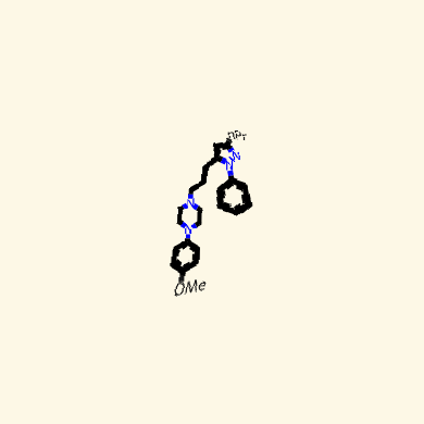 CCCc1cc(CCCN2CCN(c3ccc(OC)cc3)CC2)n(-c2ccccc2)n1